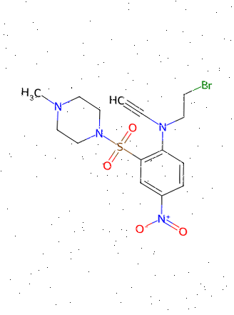 C#CN(CCBr)c1ccc([N+](=O)[O-])cc1S(=O)(=O)N1CCN(C)CC1